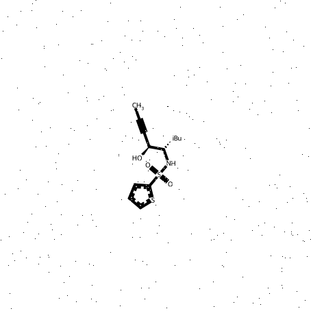 CC#C[C@H](O)C(NS(=O)(=O)c1cccs1)[C@@H](C)CC